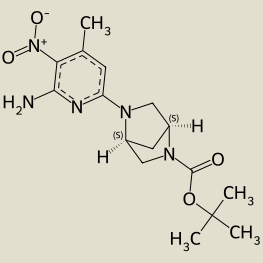 Cc1cc(N2C[C@@H]3C[C@H]2CN3C(=O)OC(C)(C)C)nc(N)c1[N+](=O)[O-]